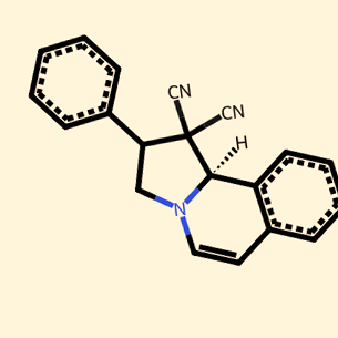 N#CC1(C#N)C(c2ccccc2)CN2C=Cc3ccccc3[C@@H]21